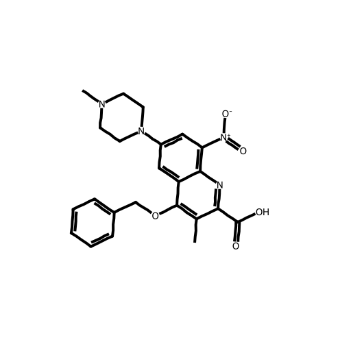 Cc1c(C(=O)O)nc2c([N+](=O)[O-])cc(N3CCN(C)CC3)cc2c1OCc1ccccc1